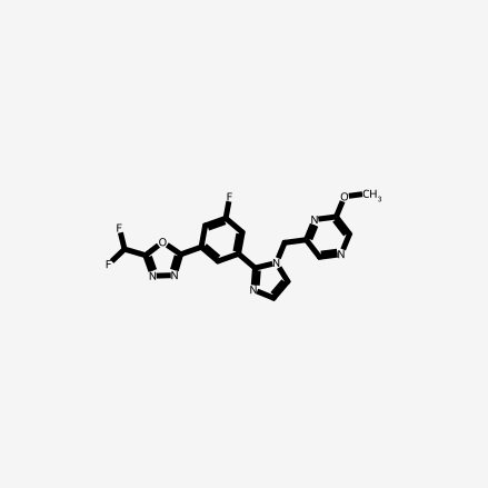 COc1cncc(Cn2ccnc2-c2cc(F)cc(-c3nnc(C(F)F)o3)c2)n1